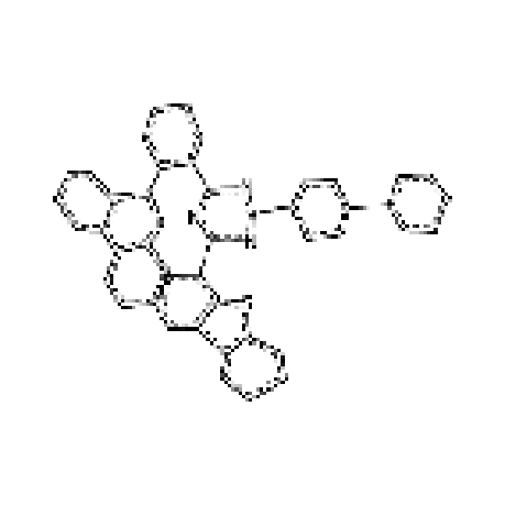 c1ccc(-c2ccc(-c3nc(-c4ccccc4-c4cc5ccccc5c5ccccc45)nc(-c4cccc5c4sc4ccccc45)n3)cc2)cc1